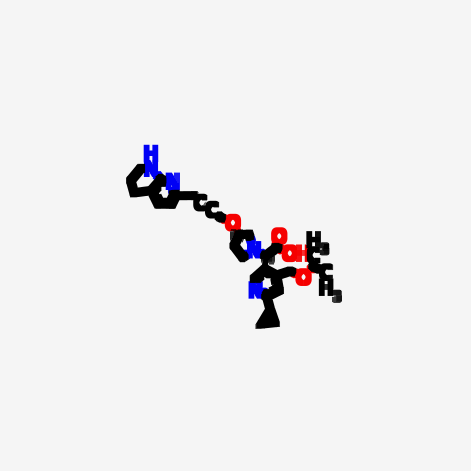 CC(C)OCc1cc(C2CC2)ncc1[C@@H](C(=O)O)N1CC[C@@H](OCCCCc2ccc3c(n2)NCCC3)C1